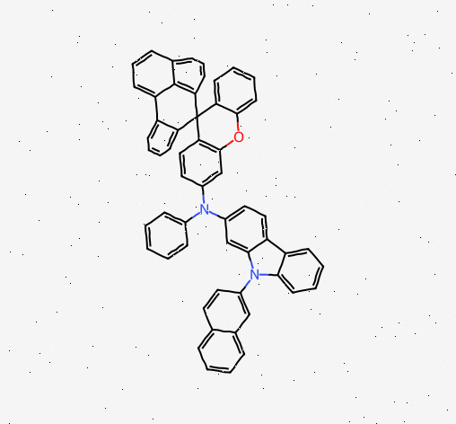 c1ccc(N(c2ccc3c(c2)Oc2ccccc2C32c3ccccc3-c3cccc4cccc2c34)c2ccc3c4ccccc4n(-c4ccc5ccccc5c4)c3c2)cc1